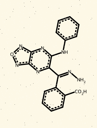 NN=C(c1ccccc1C(=O)O)c1nc2nonc2nc1Nc1ccccc1